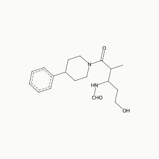 CC(C(=O)N1CCC(c2ccccc2)CC1)C(CCO)NC=O